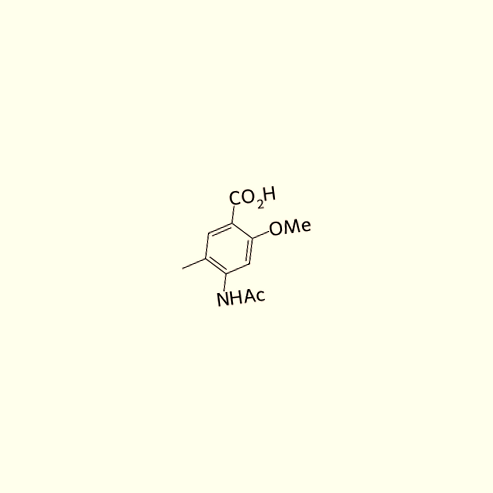 COc1cc(NC(C)=O)c(C)cc1C(=O)O